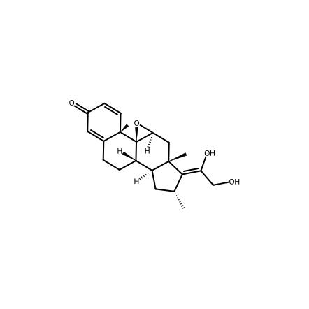 C[C@@H]1C[C@H]2[C@@H]3CCC4=CC(=O)C=C[C@]4(C)[C@@]34O[C@H]4C[C@]2(C)/C1=C(\O)CO